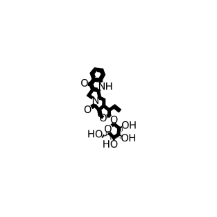 C=CC1C(OC2O[C@@H](CO)[C@H](O)[C@@H](O)[C@@H]2O)OC=C2C(=O)N3Cc4c([nH]c5ccccc5c4=O)C3CC21